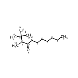 CCCCCCCC(=O)N(C)C(C)(C)C